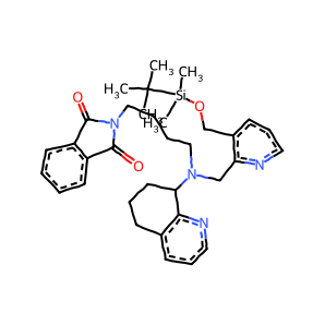 CC(C)(C)[Si](C)(C)OCc1cccnc1CN(CCCCN1C(=O)c2ccccc2C1=O)C1CCCc2cccnc21